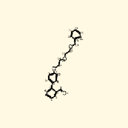 O=Cc1ccccc1-c1ccc(OCCOCCOCc2ccccc2)cc1